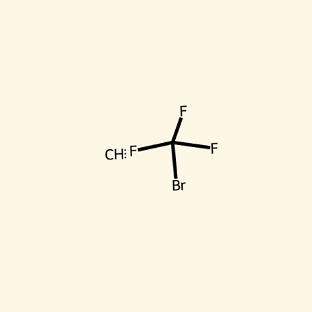 FC(F)(F)Br.[CH]